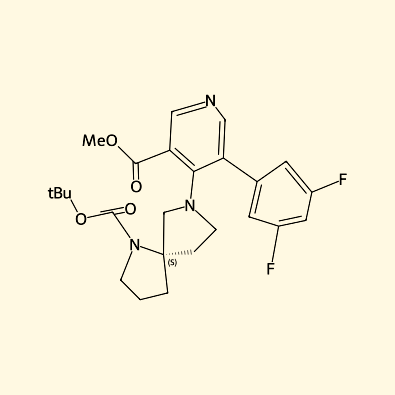 COC(=O)c1cncc(-c2cc(F)cc(F)c2)c1N1CC[C@@]2(CCCN2C(=O)OC(C)(C)C)C1